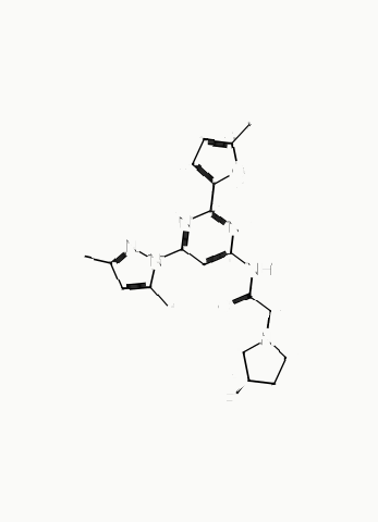 Cc1cc(C)n(-c2cc(NC(=O)CN3CC[C@@H](F)C3)nc(-c3ccc(C)o3)n2)n1